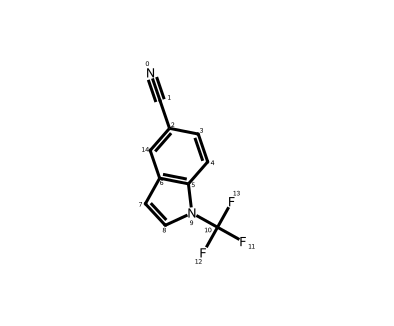 N#Cc1ccc2c(ccn2C(F)(F)F)c1